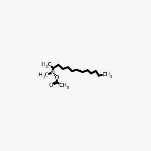 CCCCCCCCCCCC(C)N(C)OC(C)=O